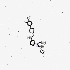 COc1ccc(C2CCC(CNc3cccc(/C(C=N)=C/NC4CCC4)c3)CC2)nc1C